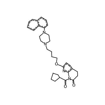 O=C1CCc2ccc(OCCCCN3CCN(c4cccc5ccccc45)CC3)nc2N1C(=O)C1CCCC1